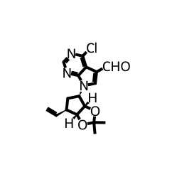 C=C[C@H]1C[C@H](n2cc(C=O)c3c(Cl)ncnc32)[C@@H]2OC(C)(C)O[C@@H]21